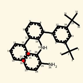 CC(C)(C)c1cc(-c2cccc(-c3ccccc3)c2Nc2ccccc2N)cc(C(C)(C)C)c1